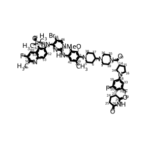 COc1cc(N2CCC(N3CCN(C(=O)[C@@H]4CCN(c5cc(F)c([C@H]6CCC(=O)NC6=O)c(F)c5)C4)CC3)CC2)c(C)cc1Nc1ncc(Br)c(Nc2ccc3nc(C)c(F)cc3c2P(C)(C)=O)n1